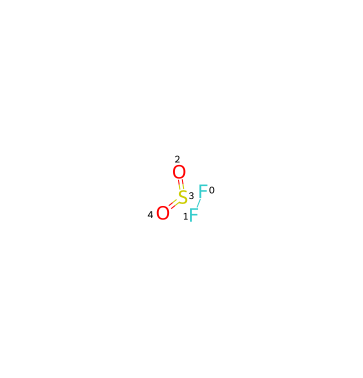 FF.O=S=O